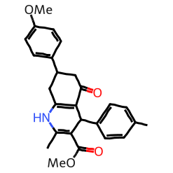 COC(=O)C1=C(C)NC2=C(C(=O)CC(c3ccc(OC)cc3)C2)C1c1ccc(C)cc1